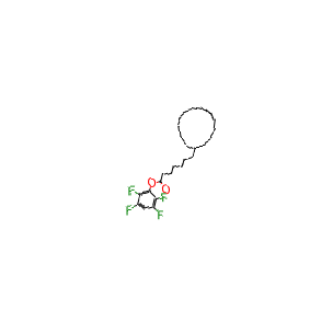 O=C(CCCCCCC1CCCCCCCCCCCC1)Oc1c(F)c(F)cc(F)c1F